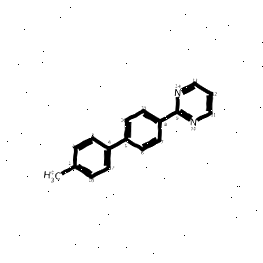 Cc1ccc(-c2ccc(-c3ncccn3)cc2)cc1